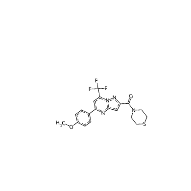 COc1ccc(-c2cc(C(F)(F)F)n3nc(C(=O)N4CCSCC4)cc3n2)cc1